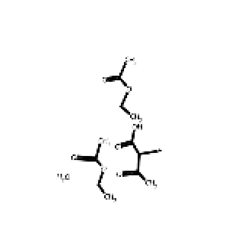 CC(=O)C(F)C(=O)O.CCOC(C)=O.CCOC(C)=O.O